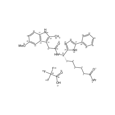 CCCC(=O)CCCCC[C@H](NC(=O)Cc1c(C)[nH]c2ccc(OC)cc12)c1ncc(-c2ccccc2)[nH]1.O=C(O)C(F)(F)F